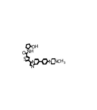 CN1CCN(c2ccc(-c3ccn4c(-c5csc(C(=O)N[C@@H]6CCC[C@H]6O)c5)cnc4c3)cc2)CC1